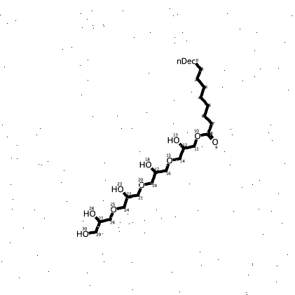 CCCCCCCCCCCCCCCCCC(=O)OCC(O)COCC(O)COCC(O)COCC(O)CO